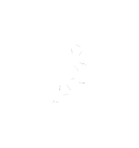 COc1ccc2cc(-c3nc(-c4ccccc4Cl)no3)c(=O)oc2c1